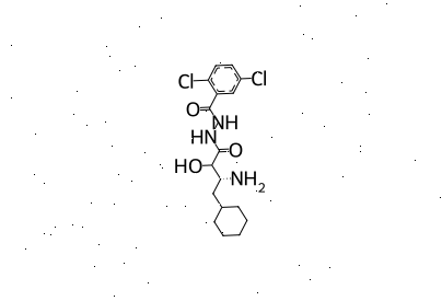 N[C@H](CC1CCCCC1)C(O)C(=O)NNC(=O)c1cc(Cl)ccc1Cl